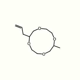 C=CCC1COCCOC(C)COCCO1